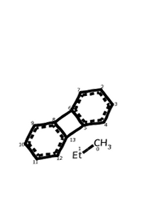 CCC.c1ccc2c(c1)-c1ccccc1-2